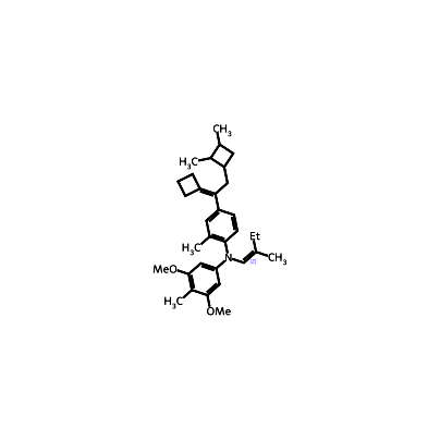 CC/C(C)=C\N(c1cc(OC)c(C)c(OC)c1)c1ccc(C(CC2CC(C)C2C)=C2CCC2)cc1C